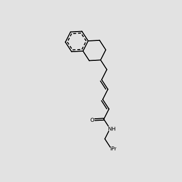 CC(C)CNC(=O)/C=C/C=C/CC1CCc2ccccc2C1